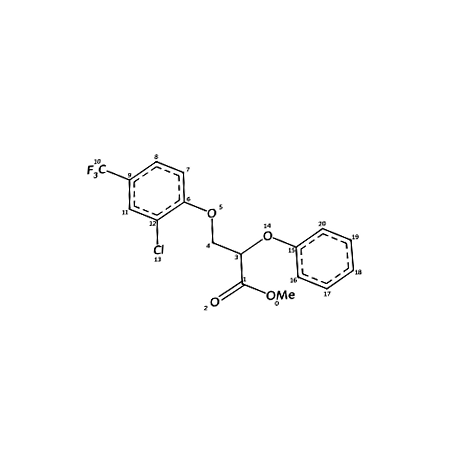 COC(=O)C(COc1ccc(C(F)(F)F)cc1Cl)Oc1ccccc1